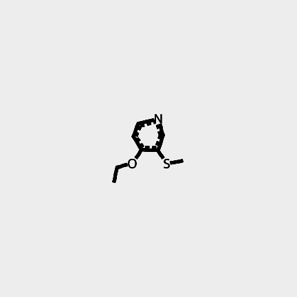 CCOc1ccncc1SC